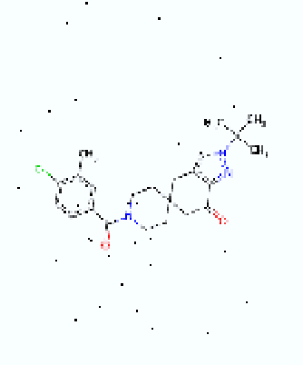 Cc1cc(C(=O)N2CCC3(CC2)CC(=O)c2nn(C(C)(C)C)cc2C3)ccc1Cl